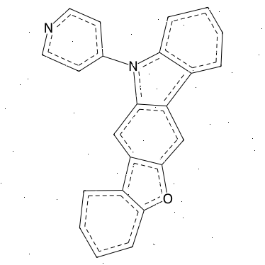 c1ccc2c(c1)oc1cc3c4ccccc4n(-c4ccncc4)c3cc12